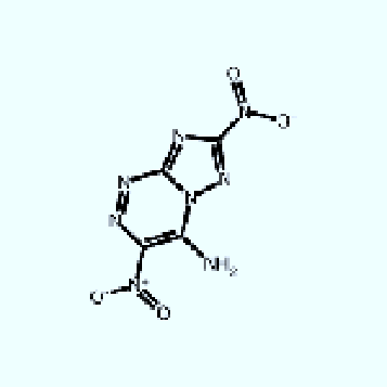 Nc1c([N+](=O)[O-])nnc2nc([N+](=O)[O-])nn12